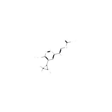 CNC(=O)N/C=C(\C=O)c1cc(C2[C@@H](C)C2(F)F)c(OC)nn1